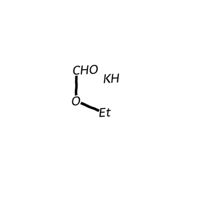 CCOC=O.[KH]